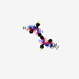 CN[C@@H](C)C(=O)N[C@H](C(=O)N1CCC[C@H]1CN(CCc1ccc(F)cc1)C(=O)CNC(=O)c1ccc(-c2ccc(C(=O)NCC(=O)N(CCc3ccc(F)cc3)C[C@@H]3CCCN3C(=O)[C@@H](NC(=O)[C@H](C)N)C3CCCCC3)cc2)cc1)C1CCCCC1